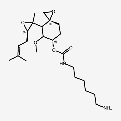 COC1C(C2(C)O[C@@H]2CC=C(C)C)[C@]2(CC[C@@H]1OC(=O)NCCCCCCN)CO2